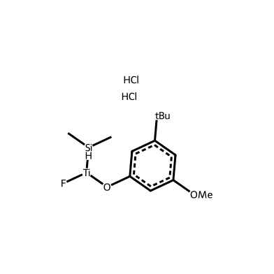 COc1cc([O][Ti]([F])[SiH](C)C)cc(C(C)(C)C)c1.Cl.Cl